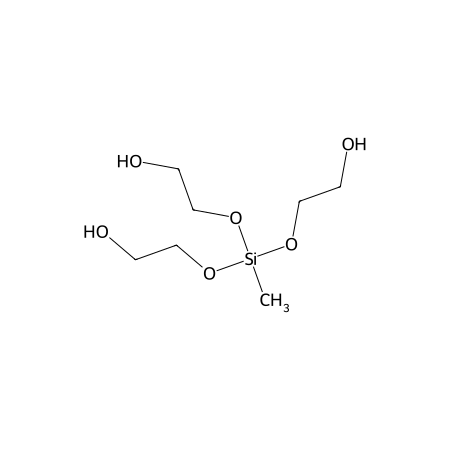 C[Si](OCCO)(OCCO)OCCO